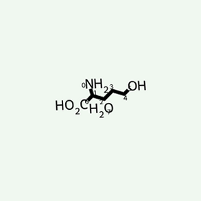 NC(CCCO)C(=O)O.O